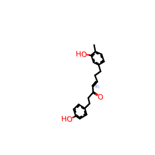 Cc1ccc(CC/C=C/C(=O)CCc2ccc(O)cc2)cc1O